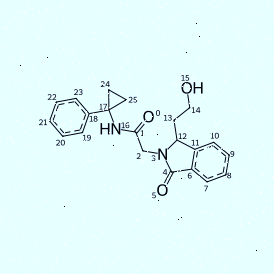 O=C(CN1C(=O)c2ccccc2C1CCO)NC1(c2ccccc2)CC1